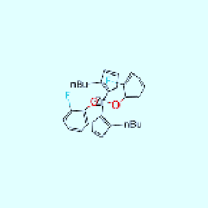 CCCCC1=[C]([Zr]([O]c2ccccc2F)([O]c2ccccc2F)[C]2=C(CCCC)C=CC2)CC=C1